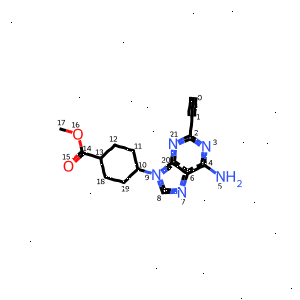 C#Cc1nc(N)c2ncn(C3CCC(C(=O)OC)CC3)c2n1